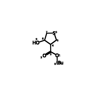 CC(C)(C)OC(=O)C1CSCC1O